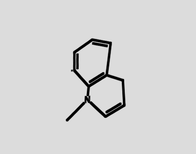 CN1C=CCc2ccc[c]c21